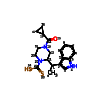 CC(c1c[nH]c2ccccc12)C1CN(C(=O)C2CC2)CCN1C(=S)S